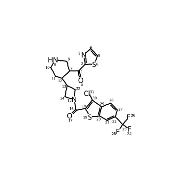 O=C(c1nccs1)C1CNCCC1C1CN(C(=O)c2sc3cc(C(F)(F)F)ccc3c2Cl)C1